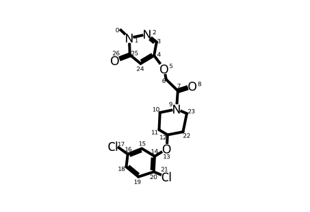 Cn1ncc(OCC(=O)N2CCC(Oc3cc(Cl)ccc3Cl)CC2)cc1=O